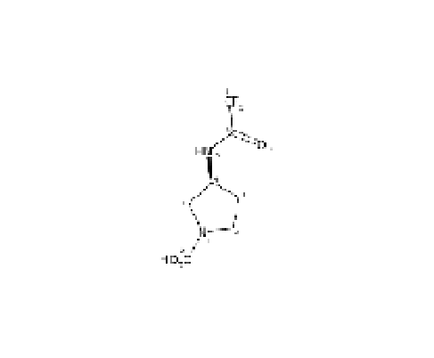 O=C(O)N1CC[C@H](NC(=O)C(F)(F)F)C1